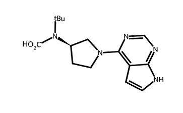 CC(C)(C)N(C(=O)O)[C@@H]1CCN(c2ncnc3[nH]ccc23)C1